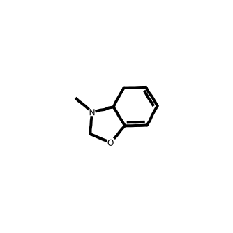 CN1COC2=CC=CCC21